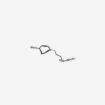 COc1ccc(CCCNNC(C)=O)cc1